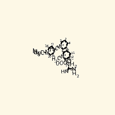 C[n+]1ccccc1.C[n+]1ccccc1.C[n+]1ccccc1.N=C(N)N.O=C([O-])[O-].[Br-]